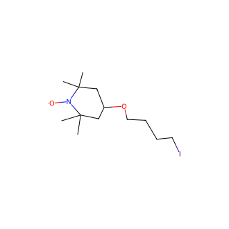 CC1(C)CC(OCCCCI)CC(C)(C)N1[O]